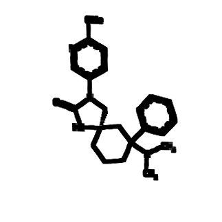 COc1ccc(N2C[C@]3(CCCC(c4ccccc4)(N(C)C)C3)NC2=O)cn1